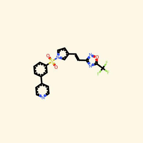 O=S(=O)(c1cccc(-c2ccncc2)c1)n1ccc(C=Cc2noc(C(F)(F)F)n2)c1